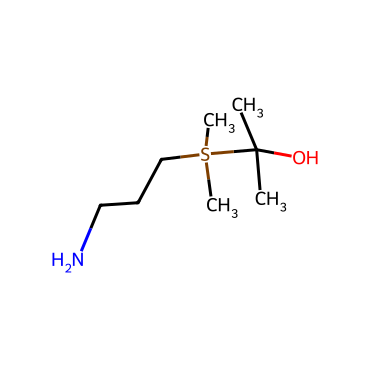 CC(C)(O)S(C)(C)CCCN